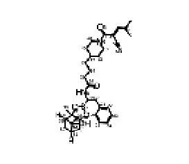 CC(C)/C=C(\C#N)C(=O)N1CCC(CCCC(=O)N[C@@H](Cc2ccccc2)B2O[C@@H]3C[C@@H]4C[C@@H](C4(C)C)[C@]3(C)O2)CC1